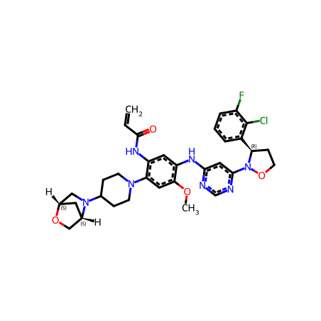 C=CC(=O)Nc1cc(Nc2cc(N3OCC[C@@H]3c3cccc(F)c3Cl)ncn2)c(OC)cc1N1CCC(N2C[C@@H]3C[C@H]2CO3)CC1